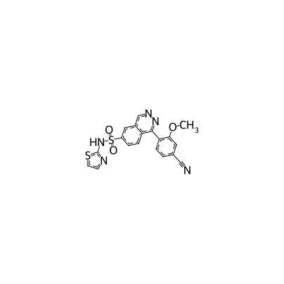 COc1cc(C#N)ccc1-c1nncc2cc(S(=O)(=O)Nc3nccs3)ccc12